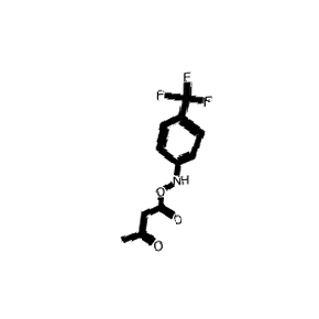 CC(=O)CC(=O)ONc1ccc(C(F)(F)F)cc1